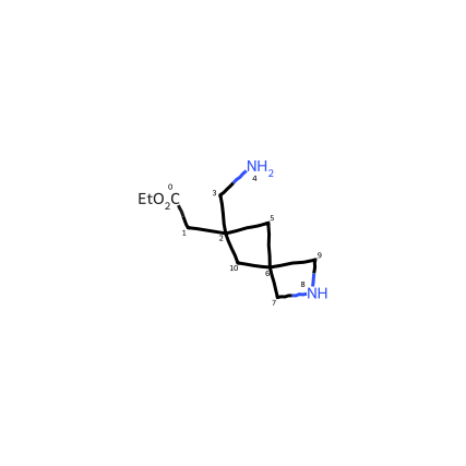 CCOC(=O)CC1(CN)CC2(CNC2)C1